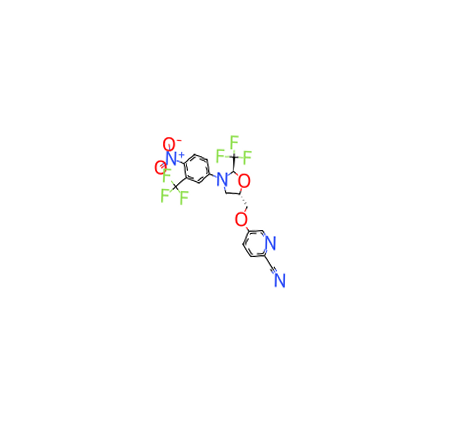 N#Cc1ccc(OC[C@@H]2CN(c3ccc([N+](=O)[O-])c(C(F)(F)F)c3)[C@@H](C(F)(F)F)O2)cn1